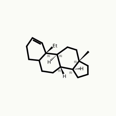 CC[C@]12C=CCCC1CC[C@H]1[C@@H]3CCC[C@@]3(C)CC[C@@H]12